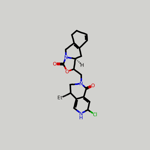 CCC1CN(CC2OC(=O)N3CC4=C(C=CCC4)C[C@@H]23)C(=O)C2=CC(Cl)NC=C21